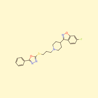 Fc1ccc2c(C3CCN(CCCSc4nnc(-c5ccccc5)o4)CC3)noc2c1